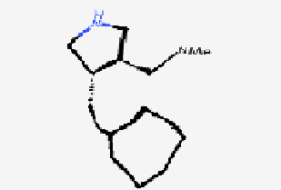 CNC[C@@H]1CNC[C@H]1CC1CCCCC1